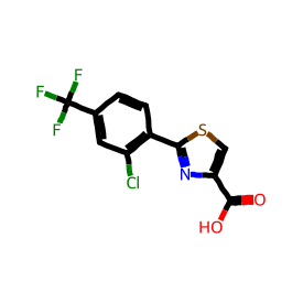 O=C(O)c1csc(-c2ccc(C(F)(F)F)cc2Cl)n1